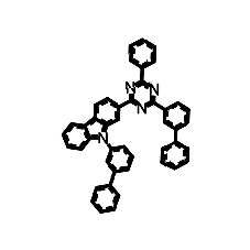 c1ccc(-c2cccc(-c3nc(-c4ccccc4)nc(-c4ccc5c6ccccc6n(-c6cccc(-c7ccccc7)c6)c5c4)n3)c2)cc1